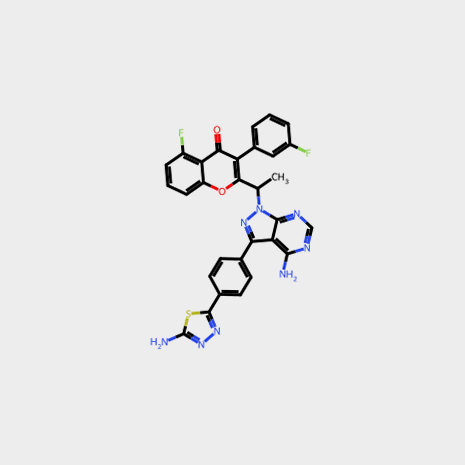 CC(c1oc2cccc(F)c2c(=O)c1-c1cccc(F)c1)n1nc(-c2ccc(-c3nnc(N)s3)cc2)c2c(N)ncnc21